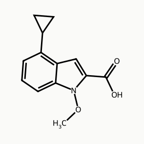 COn1c(C(=O)O)cc2c(C3CC3)cccc21